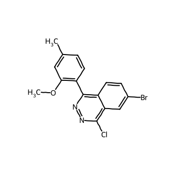 COc1cc(C)ccc1-c1nnc(Cl)c2cc(Br)ccc12